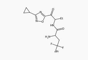 CCCC(F)(F)CC(N)C(=O)NC(CC)C(=O)c1nc(C2CC2)no1